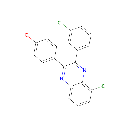 Oc1ccc(-c2nc3cccc(Cl)c3nc2-c2cccc(Cl)c2)cc1